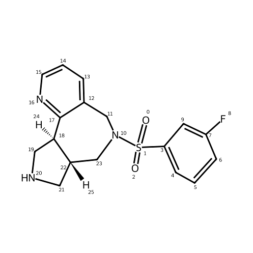 O=S(=O)(c1cccc(F)c1)N1Cc2cccnc2[C@@H]2CNC[C@H]2C1